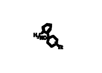 CCN1CCC(C#N)(c2ccccc2C)CC1